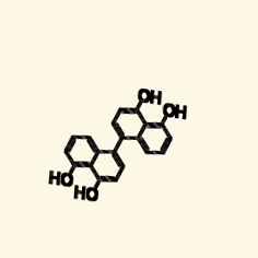 Oc1cccc2c(-c3ccc(O)c4c(O)cccc34)ccc(O)c12